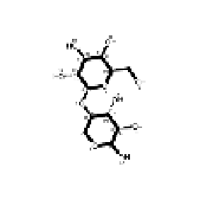 OC[C@H]1O[C@@H](O[C@@H]2COC(O)[C@H](O)[C@H]2O)[C@H](O)[C@@H](O)[C@H]1O